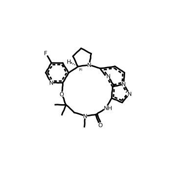 CN1CC(C)(C)Oc2ncc(F)cc2[C@H]2CCCN2c2ccn3ncc(c3n2)NC1=O